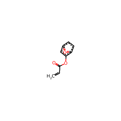 C=CC(=O)Oc1cc2ccc1o2